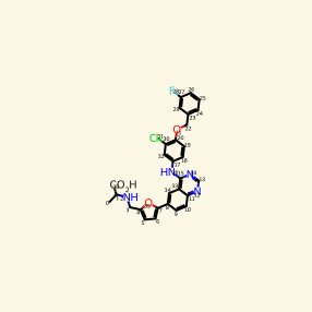 CC(NCc1ccc(-c2ccc3ncnc(Nc4ccc(OCc5cccc(F)c5)c(Cl)c4)c3c2)o1)C(=O)O